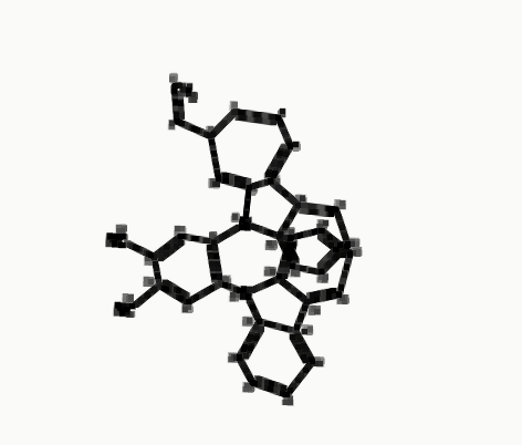 C=CC1C=CC=c2c(n(-c3cc(C#N)c(C#N)cc3-n3c4ccccc4c4ccccc43)c3ccccc23)=C1